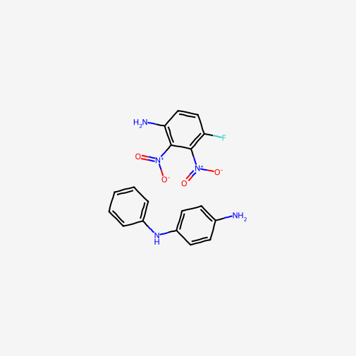 Nc1ccc(F)c([N+](=O)[O-])c1[N+](=O)[O-].Nc1ccc(Nc2ccccc2)cc1